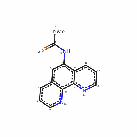 CNC(=S)Nc1cc2cccnc2c2ncccc12